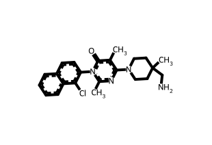 Cc1c(N2CCC(C)(CN)CC2)nc(C)n(-c2ccc3ccccc3c2Cl)c1=O